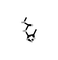 CNC(=O)Nc1nnoc1C